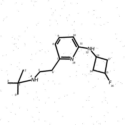 CC(C)(C)NCCc1cccc(NC2CC(F)C2)n1